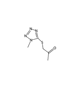 CC(=O)CSc1nnnn1C